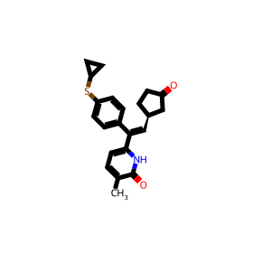 Cc1ccc(/C(=C/[C@H]2CCC(=O)C2)c2ccc(SC3CC3)cc2)[nH]c1=O